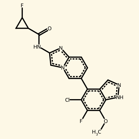 COc1c(F)c(Cl)c(-c2ccc3nc(NC(=O)C4CC4F)cn3c2)c2cn[nH]c12